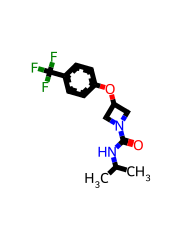 CC(C)NC(=O)N1CC(Oc2ccc(C(F)(F)F)cc2)C1